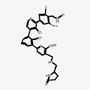 COc1cc(-c2nccc(-c3cccc(-c4ccc(CNCC5CCC(=O)N5)c(OC)n4)c3Cl)c2Cl)cc(F)c1CNC(C)C